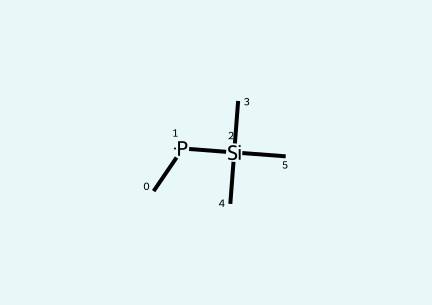 C[P][Si](C)(C)C